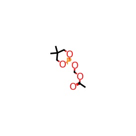 CC(=O)OCOP1OCC(C)(C)CO1